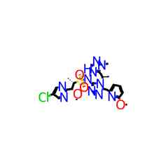 COc1cccc(-c2nnc(NS(=O)(=O)[C@@H](C)[C@H](OC)c3ncc(Cl)cn3)n2[C@H](C)c2ncnn2C)n1